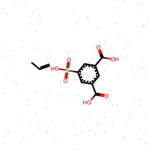 C=CC.O=C(O)c1cc(C(=O)O)cc(S(=O)(=O)O)c1